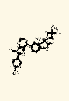 CCn1c(-c2cnc(C)nc2)nc2c(-c3ccc4c(c3)C(C)(N3CC(C)(F)C3)C(=O)N4)ncnc21